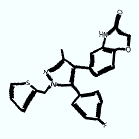 Cc1nn(Cc2cccs2)c(-c2ccc(F)cc2)c1-c1ccc2c(c1)NC(=O)CO2